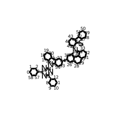 c1ccc(-c2nc(-c3ccccc3)nc(-n3c4ccccc4c4cc(-c5cc6ccc7cccc8c7c6c(c5)n8-c5cccc6c5sc5ccccc56)ccc43)n2)cc1